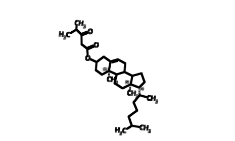 CC(C)CCCC(C)[C@H]1CCC2C3CC=C4CC(OC(=O)CC(=O)C(C)C)CC[C@]4(C)C3CC[C@@]21C